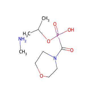 CC(C)OP(=O)(O)C(=O)N1CCOCC1.CN